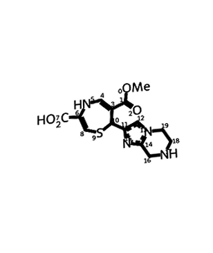 COC(=O)C1=CNC(C(=O)O)=CSC1c1cn2c(n1)CNCC2